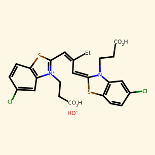 CCC(=Cc1sc2ccc(Cl)cc2[n+]1CCC(=O)O)C=C1Sc2ccc(Cl)cc2N1CCC(=O)O.[OH-]